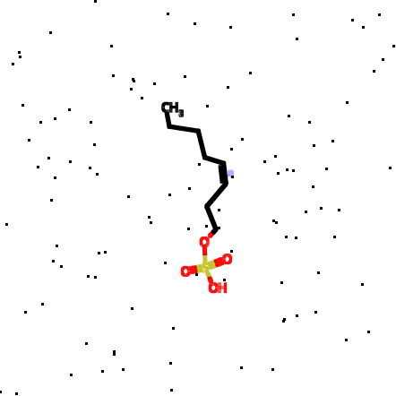 CCCC/C=C\CCOS(=O)(=O)O